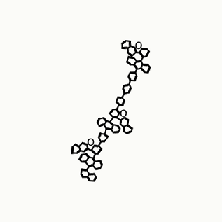 c1ccc2cc3c(cc2c1)oc1c(-c2ccc(-c4ccc(-c5ccc(-c6c7ccccc7c(-c7cccc8oc9c%10ccccc%10ccc9c78)c7ccccc67)cc5)cc4)cc2)ccc(-c2c4ccccc4c(-c4ccc(-c5ccc(-c6c7ccccc7c(-c7cccc8ccccc78)c7ccccc67)c6c5oc5cc7ccccc7cc56)cc4)c4ccccc24)c13